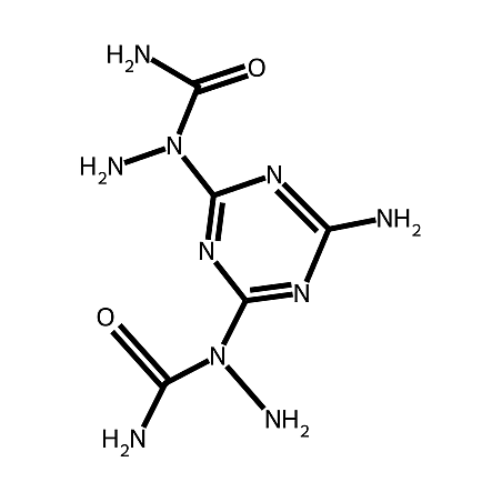 NC(=O)N(N)c1nc(N)nc(N(N)C(N)=O)n1